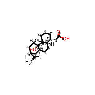 C=C1C[C@@]23CC[C@@H]4[C@@H](CC(=O)O)CCC[C@@]4(C)[C@]2(O)CC[C@@H]1C3